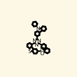 c1ccc(-c2nc(-c3ccc4c(c3)c3ccccc3n4-c3ccccc3)nc(-c3cccc4sc5ccc(-c6nc7ccccc7o6)cc5c34)n2)cc1